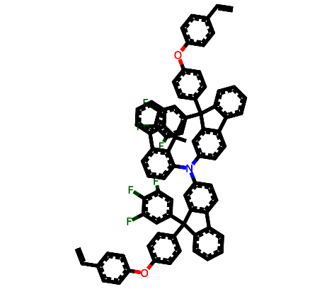 C=Cc1ccc(Oc2ccc(C3(c4cc(F)c(F)c(F)c4)c4ccccc4-c4ccc(N(c5ccc6c(c5)C(c5ccc(Oc7ccc(C=C)cc7)cc5)(c5cc(F)c(F)c(F)c5)c5ccccc5-6)c5cccc6c5C(C)(C)c5ccccc5-6)cc43)cc2)cc1